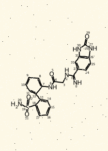 N=C(NCC(=O)Nc1ccccc1-c1ccccc1S(N)(=O)=O)c1ccc2[nH]c(=O)[nH]c2c1